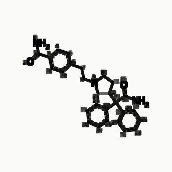 NC(=O)c1ccc(CCN2CCC(C(C(N)=O)(c3ccccc3)c3ccccc3)C2)cc1